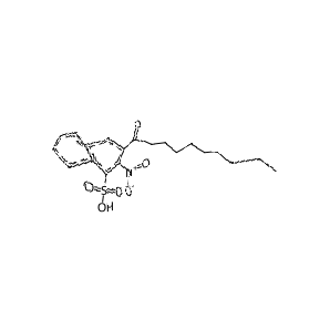 CCCCCCCCCC(=O)c1cc2ccccc2c(S(=O)(=O)O)c1[N+](=O)[O-]